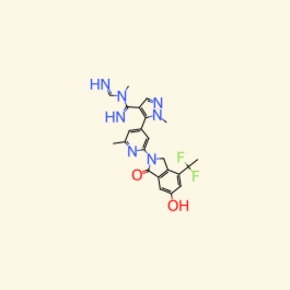 Cc1cc(-c2c(C(=N)N(C)C=N)cnn2C)cc(N2Cc3c(cc(O)cc3C(C)(F)F)C2=O)n1